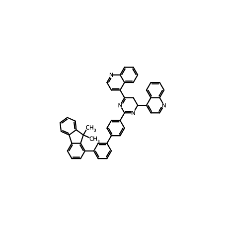 CC1(C)c2ccccc2-c2cccc(-c3cccc(-c4ccc(C5=NC(c6ccnc7ccccc67)CC(c6ccnc7ccccc67)=N5)cc4)c3)c21